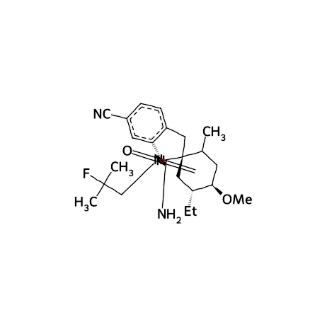 CC[C@@H]1C[C@@]2(Cc3ccc(C#N)cc3[C@]23N=C(N)N(CC(C)(C)F)C3=O)C(C)C[C@H]1OC